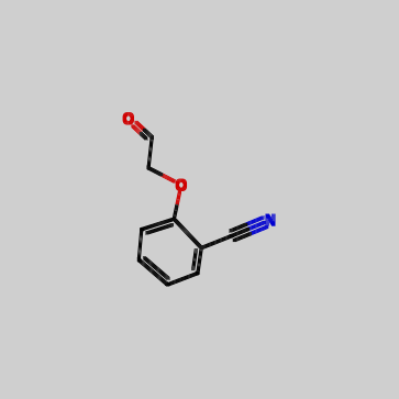 N#Cc1ccccc1OCC=O